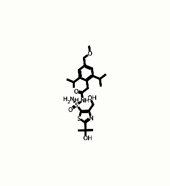 COCc1cc(C(C)C)c(CC(=O)N[SH](N)(=O)c2sc(C(C)(C)O)nc2CO)c(C(C)C)c1